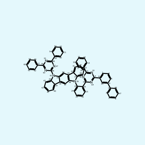 c1ccc(-c2cccc(-c3nc(-c4ccccc4)nc(-c4ccccc4-n4c5ccccc5c5cc6c(cc54)c4ccccc4n6-c4nc(-c5ccccc5)nc(-c5ccccc5)n4)n3)c2)cc1